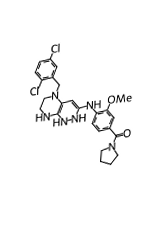 COc1cc(C(=O)N2CCCC2)ccc1NC1=CC2=C(NCCN2Cc2cc(Cl)ccc2Cl)NN1